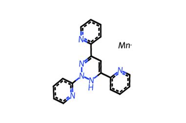 C1=C(c2ccccn2)NN(c2ccccn2)N=C1c1ccccn1.[Mn]